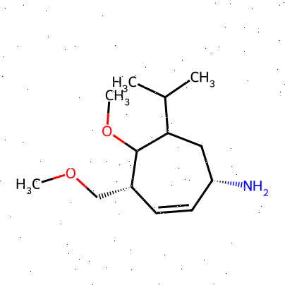 COC[C@H]1C=C[C@@H](N)CC(C(C)C)C1OC